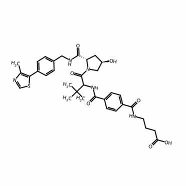 Cc1ncsc1-c1ccc(CNC(=O)[C@@H]2C[C@@H](O)CN2C(=O)C(NC(=O)c2ccc(C(=O)NCCCC(=O)O)cc2)C(C)(C)C)cc1